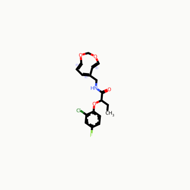 CCC(Oc1ccc(F)cc1Cl)C(=O)NCC1=C/C=C/OCO\C=C\1